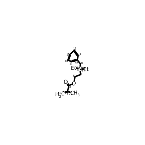 C=C(C)C(=O)OCC[N+](CC)(CC)Cc1ccccc1